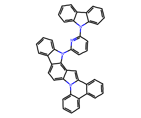 c1cc(-n2c3ccccc3c3ccccc32)nc(-n2c3ccccc3c3ccc4c(cc5c6ccccc6c6ccccc6n54)c32)c1